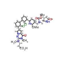 COc1nc(-c2cccc(-c3cccc(-c4cc5c(=O)n(C)c(N(C)CCC(=O)O)nn5c4)c3Cl)c2Cl)ccc1CN(C[C@@H]1CCC(=O)N1)C(=O)OC(C)(C)C